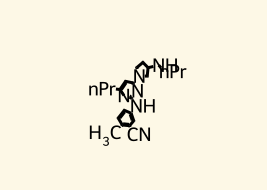 CCCNC1CCN(c2cc(CCC)nc(Nc3ccc(C)c(C#N)c3)n2)C1